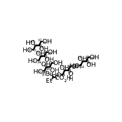 CCCCC(CC)C(=O)O.OC[C@@H](O)[C@@H](O)CO.OC[C@@H](O)[C@@H](O)CO.OC[C@@H](O)[C@@H](O)CO.OC[C@@H](O)[C@@H](O)CO.OC[C@@H](O)[C@@H](O)CO